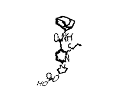 CCCSc1nc(N2CC[C@H](OC(=O)O)C2)ccc1C(=O)NC1C2CC3CC(C2)CC1C3